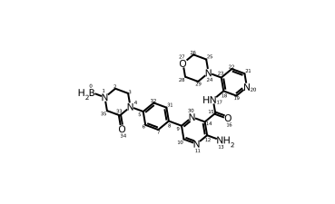 BN1CCN(c2ccc(-c3cnc(N)c(C(=O)Nc4cnccc4N4CCOCC4)n3)cc2)C(=O)C1